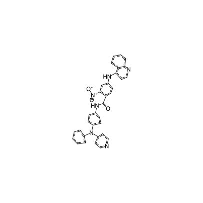 O=C(Nc1ccc(N(c2ccccc2)c2ccncc2)cc1)c1ccc(Nc2ccnc3ccccc23)cc1[N+](=O)[O-]